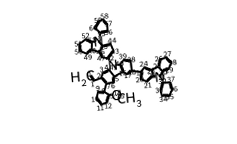 C=Cc1cc2c(cc1-c1ccccc1OC)c1cc(-c3ccc4c(c3)c3ccccc3n4-c3ccccc3)ccc1n2-c1ccc2c(c1)c1ccccc1n2-c1ccccc1